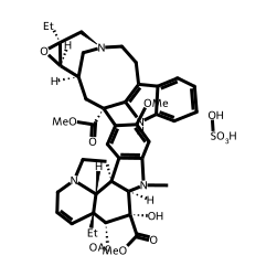 CC[C@]12C[N@@]3CCc4c([nH]c5ccccc45)[C@@](C(=O)OC)(c4cc5c(cc4OC)N(C)[C@H]4[C@@](O)(C(=O)OC)[C@H](OC(C)=O)[C@]6(CC)C=CCN7CC[C@]54[C@@H]76)C[C@H](C3)[C@H]1O2.O=S(=O)(O)O